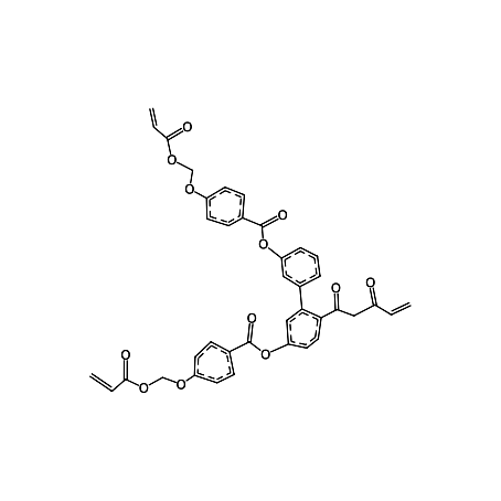 C=CC(=O)CC(=O)c1ccc(OC(=O)c2ccc(OCOC(=O)C=C)cc2)cc1-c1cccc(OC(=O)c2ccc(OCOC(=O)C=C)cc2)c1